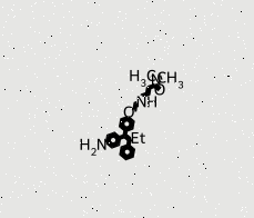 CCC(=C(c1ccc(N)cc1)c1ccc(OCCNCC=CC(=O)N(C)C)cc1)c1ccccc1